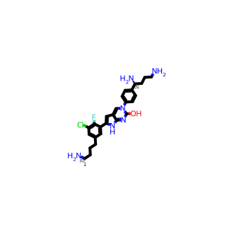 C[C@H](N)CCCc1cc(Cl)c(F)c(-c2cc3c([nH]2)=NC(O)N(c2ccc([C@@H](N)CCCN)cc2)C=3)c1